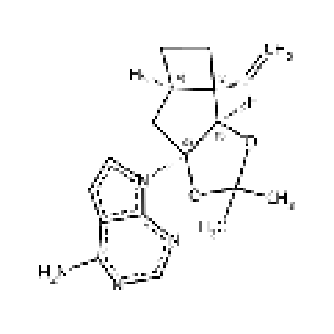 C=C[C@@]12CC[C@@H]1C[C@]1(n3ccc4c(N)ncnc43)OC(C)(C)O[C@H]21